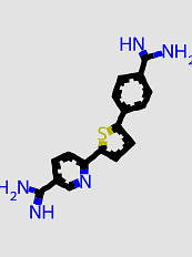 N=C(N)c1ccc(-c2ccc(-c3ccc(C(=N)N)cn3)s2)cc1